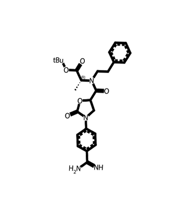 C[C@H](C(=O)OC(C)(C)C)N(CCc1ccccc1)C(=O)C1CN(c2ccc(C(=N)N)cc2)C(=O)O1